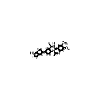 COc1cc2nc(C)nc(NC(C)c3cccc(-c4cnc5[nH]ccc5c4)c3)c2cc1OC